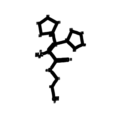 CC(C(=O)OCCO)=C(C1CCCC1)C1CCCC1